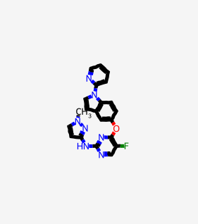 Cn1ccc(Nc2ncc(F)c(Oc3ccc4c(ccn4-c4ccccn4)c3)n2)n1